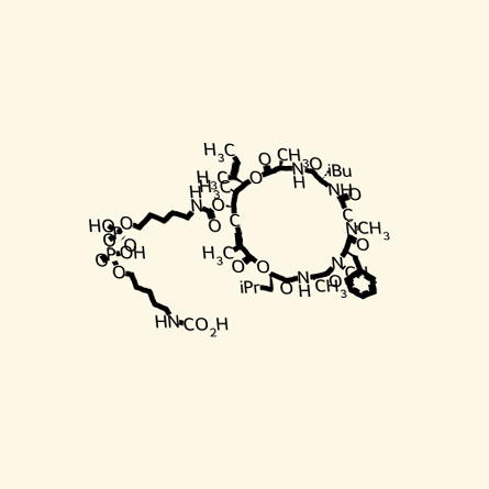 C/C=C(\C)[C@H]1OC(=O)[C@@H](C)NC(=O)[C@H](C(C)CC)NC(=O)CN(C)C(=O)[C@@H](Cc2ccccc2)N(C)C(=O)[C@H](C)NC(=O)[C@@H](CC(C)C)OC(=O)/C(C)=C/C[C@H](OC(=O)NCCCCCOP(=O)(O)OP(=O)(O)OCCCCCNC(=O)O)[C@@H]1C